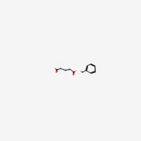 CC(=O)OC(=O)[C@@H](N)CCC(=O)OCc1ccccc1